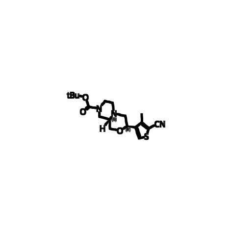 Cc1c([C@@H]2CN3CCN(C(=O)OC(C)(C)C)C[C@H]3CO2)csc1C#N